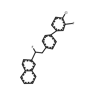 Fc1cc(-c2ccc(CC(F)c3ccc4ccccc4c3)cc2)ccc1Cl